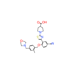 Cc1cc(CN2CCOCC2)ccc1COc1ccc(C#N)cc1-c1csc(N2CCC(C(=O)O)CC2)n1